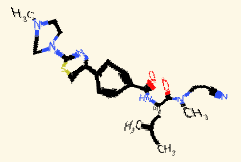 CC(C)C[C@H](NC(=O)c1ccc(-c2csc(N3CCN(C)CC3)n2)cc1)C(=O)N(C)CC#N